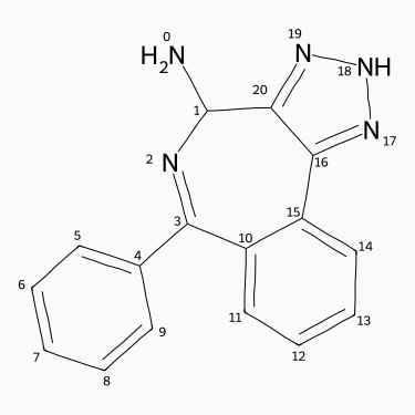 NC1N=C(c2ccccc2)c2ccccc2-c2n[nH]nc21